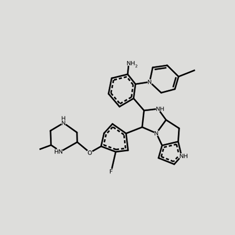 CC1=CCN(c2c(N)cccc2C2NC3Cc4[nH]ccc4N3C2c2ccc(OC3CNCC(C)N3)c(F)c2)C=C1